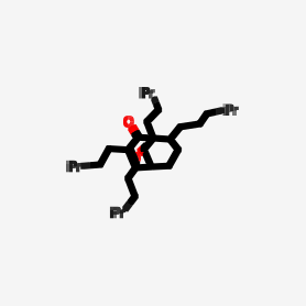 CC(C)CCCC1CCC2C(=O)C1(CCC(C)C)C(=O)C(CCC(C)C)=C2CCC(C)C